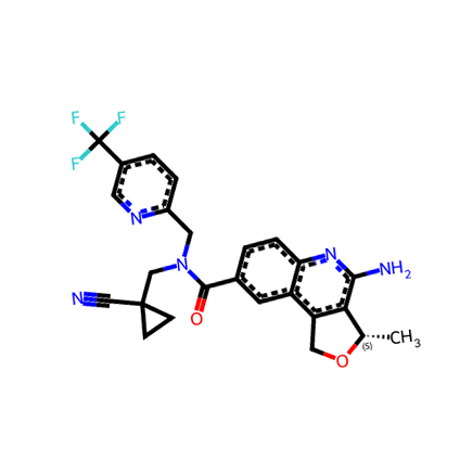 C[C@@H]1OCc2c1c(N)nc1ccc(C(=O)N(Cc3ccc(C(F)(F)F)cn3)CC3(C#N)CC3)cc21